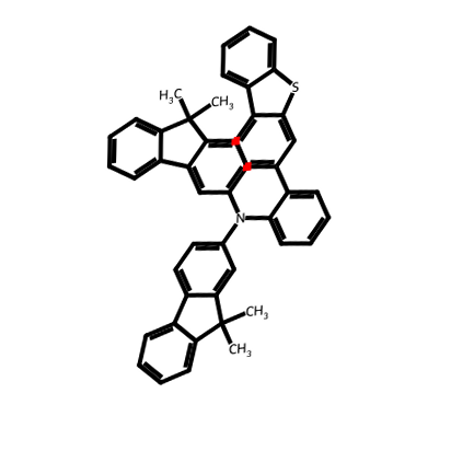 CC1(C)c2ccccc2-c2cc(N(c3ccc4c(c3)C(C)(C)c3ccccc3-4)c3ccccc3-c3ccc4c(c3)sc3ccccc34)ccc21